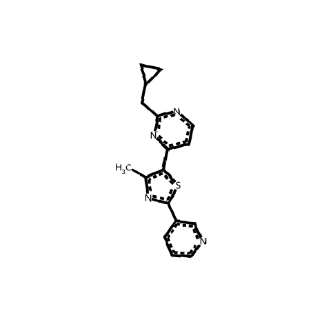 Cc1nc(-c2cccnc2)sc1-c1ccnc(CC2CC2)n1